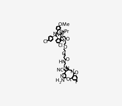 COc1ccc(C2=N[C@H](c3ccc(Cl)cc3)[C@H](c3ccc(Cl)cc3)N2C(=O)N2CCN(CCOCCOCCC(=O)NCCn3nc4c(c3C#N)-c3cnc(N)c(c3)O[C@H](C)c3cc(F)ccc3C(=O)N(C)C4)C(=O)C2)c(OC(C)C)c1